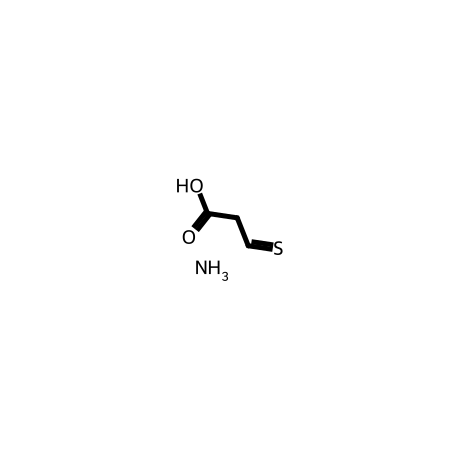 N.O=C(O)CC=S